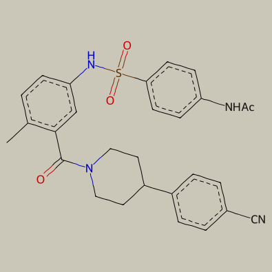 CC(=O)Nc1ccc(S(=O)(=O)Nc2ccc(C)c(C(=O)N3CCC(c4ccc(C#N)cc4)CC3)c2)cc1